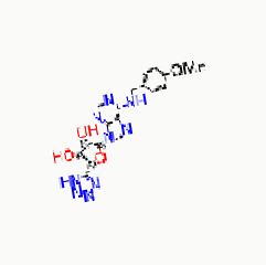 COc1ccc(CNc2ncnc3c2ncn3[C@@H]2O[C@H](c3nnn[nH]3)[C@H](O)[C@@H]2O)cc1